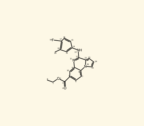 CCOC(=O)c1ccc2c(c1)nc(Nc1ccc(F)c(C)c1)c1cccn12